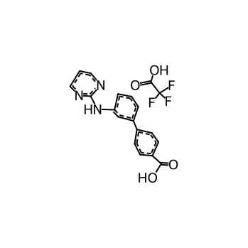 O=C(O)C(F)(F)F.O=C(O)c1ccc(-c2cccc(Nc3ncccn3)c2)cc1